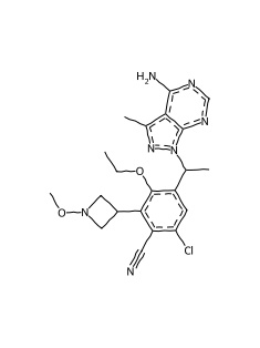 CCOc1c(C(C)n2nc(C)c3c(N)ncnc32)cc(Cl)c(C#N)c1C1CN(OC)C1